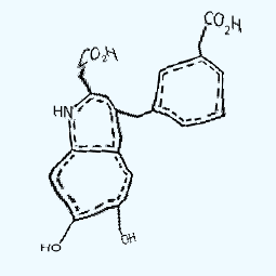 O=C(O)c1cccc(-c2c(C(=O)O)[nH]c3cc(O)c(O)cc23)c1